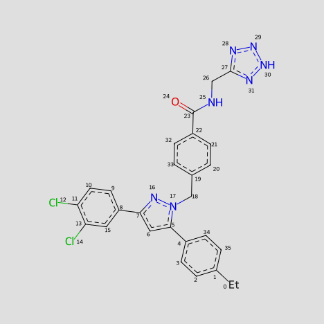 CCc1ccc(-c2cc(-c3ccc(Cl)c(Cl)c3)nn2Cc2ccc(C(=O)NCc3nn[nH]n3)cc2)cc1